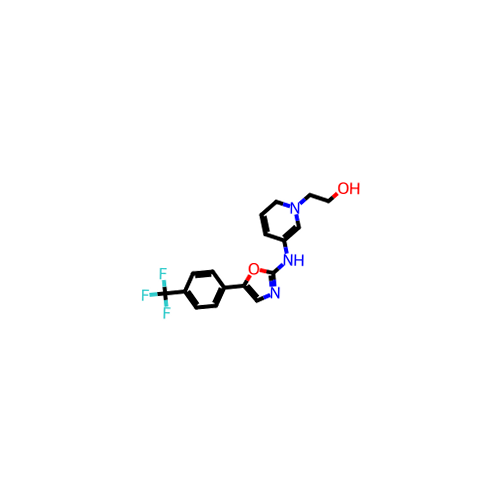 OCCN1C=C(Nc2ncc(-c3ccc(C(F)(F)F)cc3)o2)C=CC1